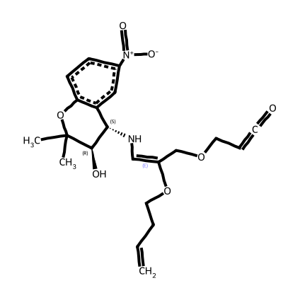 C=CCCO/C(=C/N[C@H]1c2cc([N+](=O)[O-])ccc2OC(C)(C)[C@@H]1O)COCC=C=O